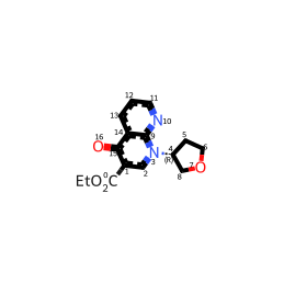 CCOC(=O)c1cn([C@@H]2CCOC2)c2ncccc2c1=O